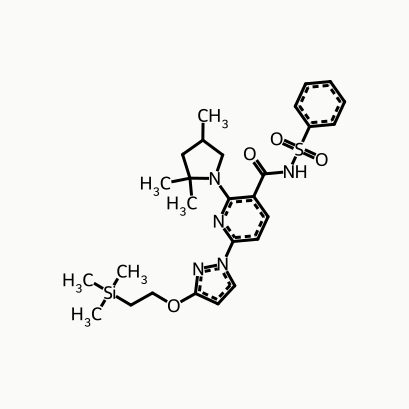 CC1CN(c2nc(-n3ccc(OCC[Si](C)(C)C)n3)ccc2C(=O)NS(=O)(=O)c2ccccc2)C(C)(C)C1